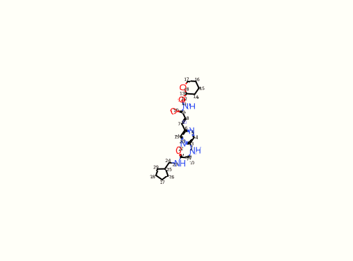 C[C@@H](Nc1cnc(/C=C/C(=O)NOC2CCCCO2)cn1)C(=O)NCC1CCCC1